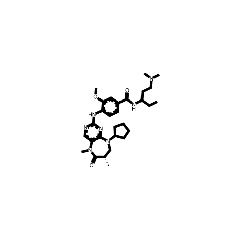 CCC(CCN(C)C)NC(=O)c1ccc(Nc2ncc3c(n2)N(C2CCCC2)C[C@H](C)C(=O)N3C)c(OC)c1